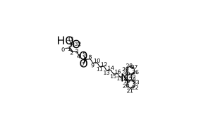 CC(=CCCOC(=O)CCCCCCCCCCn1c2ccccc2c2ccccc21)C(=O)O